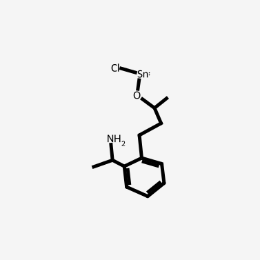 CC(CCc1ccccc1C(C)N)[O][Sn][Cl]